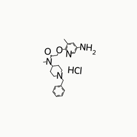 Cc1cc(N)cnc1OCC(=O)N(C)C1CCN(Cc2ccccc2)CC1.Cl